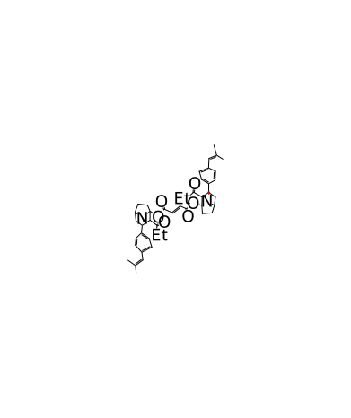 CCC(=O)C1C(c2ccc(C=C(C)C)cc2)CC2CCC1(OC(=O)/C=C/C(=O)OC13CCC(CC(c4ccc(C=C(C)C)cc4)C1C(=O)CC)N3C)N2C